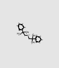 NC(O)(CSCC(N)(O)c1ccccc1)c1ccccc1